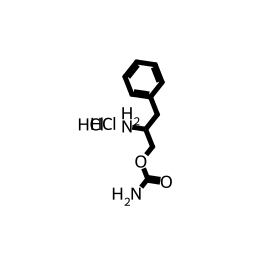 Cl.Cl.NC(=O)OCC(N)Cc1ccccc1